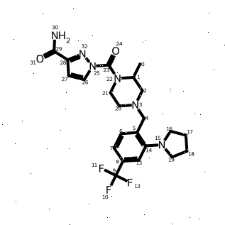 CC1CN(Cc2ccc(C(F)(F)F)cc2N2CCCC2)CCN1C(=O)n1ccc(C(N)=O)n1